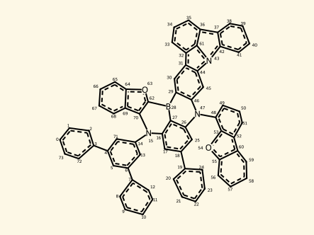 c1ccc(-c2cc(-c3ccccc3)cc(N3c4cc(-c5ccccc5)cc5c4B(c4cc6c7cccc8c9ccccc9n(c6cc4N5c4cccc5c4oc4ccccc45)c87)c4oc5ccccc5c43)c2)cc1